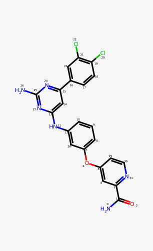 NC(=O)c1cc(Oc2cccc(Nc3cc(-c4ccc(Cl)c(Cl)c4)nc(N)n3)c2)ccn1